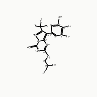 CC(C)(F)c1nn2c(=O)[nH]c(OCC(F)F)nc2c1-c1cc(F)c(F)c(F)c1